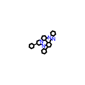 c1ccc(-c2ccnc(-n3c4ccccc4c4ccc5c(c6ccccc6n6c7ccccc7nc56)c43)c2)cc1